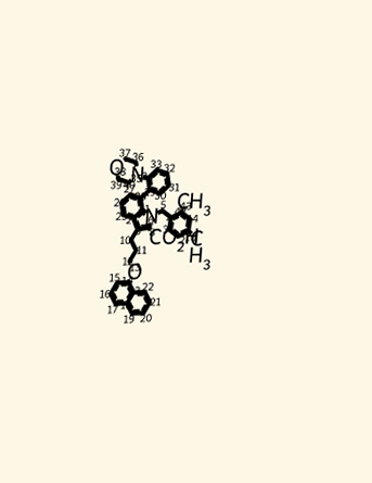 Cc1ccc(Cn2c(C(=O)O)c(CCCOc3cccc4ccccc34)c3cccc(-c4ccccc4N4CCOCC4)c32)c(C)c1